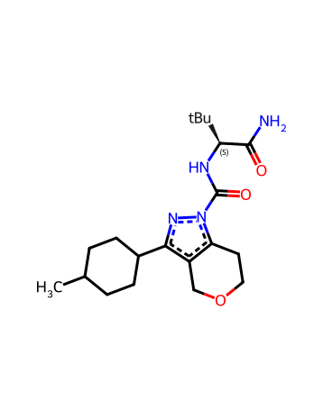 CC1CCC(c2nn(C(=O)N[C@H](C(N)=O)C(C)(C)C)c3c2COCC3)CC1